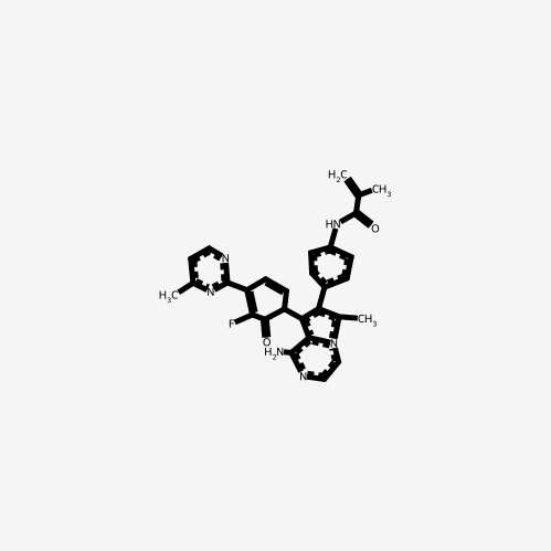 C=C(C)C(=O)Nc1ccc(-c2c(C3C=CC(c4nccc(C)n4)=C(F)C3=O)c3c(N)nccn3c2C)cc1